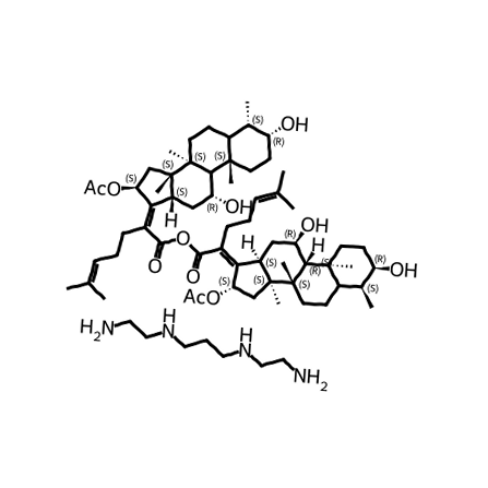 CC(=O)O[C@H]1C[C@@]2(C)[C@H](C[C@@H](O)C3[C@@]4(C)CC[C@@H](O)[C@@H](C)C4CC[C@@]32C)C1=C(CCC=C(C)C)C(=O)OC(=O)C(CCC=C(C)C)=C1[C@@H](OC(C)=O)C[C@@]2(C)[C@@H]1C[C@@H](O)[C@@H]1[C@@]3(C)CC[C@@H](O)[C@@H](C)C3CC[C@@]12C.NCCNCCCNCCN